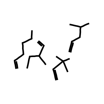 C=CC(C)(C)C.C=CC(C)CC.C=CCC(C)C.C=CCCCC